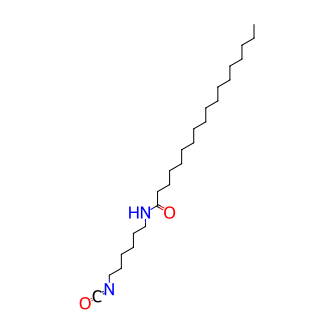 CCCCCCCCCCCCCCCCCC(=O)NCCCCCCN=C=O